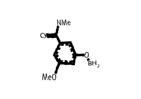 BOc1cc(OC)cc(C(=O)NC)c1